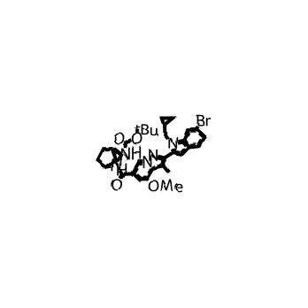 COc1cc(C(=O)N2CC3CCC2[C@@H]3NC(=O)OC(C)(C)C)cn2nc(-c3cc4ccc(Br)cc4n3CC3CC3)c(C)c12